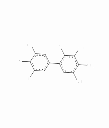 Cc1cc(-c2cc(N)c(N)c(C)c2N)cc(F)c1N